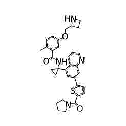 Cc1ccc(OCC2CCN2)cc1C(=O)NC1(c2cc(-c3ccc(C(=O)N4CCCC4)s3)cc3ncccc23)CC1